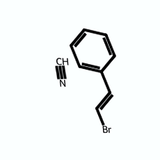 BrC=Cc1ccccc1.C#N